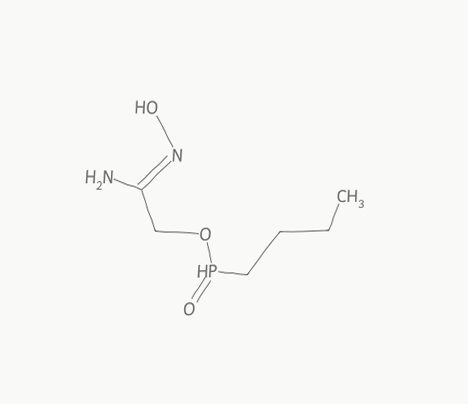 CCCC[PH](=O)OCC(N)=NO